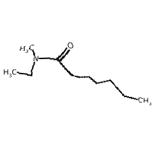 CCCCCCC(=O)N(C)CC